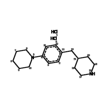 Cl.Cl.c1cc(N2CCCCC2)ccc1CC1CCNCC1